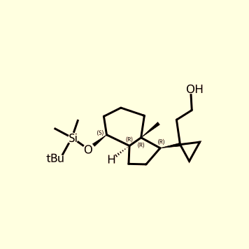 CC(C)(C)[Si](C)(C)O[C@H]1CCC[C@]2(C)[C@@H](C3(CCO)CC3)CC[C@@H]12